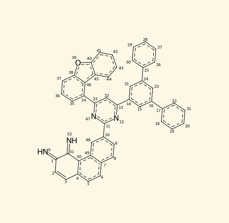 N=C1C=Cc2ccc3ccc(-c4nc(-c5cc(-c6ccccc6)cc(-c6ccccc6)c5)cc(-c5cccc6oc7ccccc7c56)n4)cc3c2C1=N